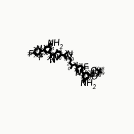 CC(CCn1cc(-c2ccc3c(-c4cc(N)cc(-c5ncc(F)cc5F)c4)cnn3c2)cn1)Cc1cnc(-c2cc(N)cc(B3OCC(C)(C)CO3)c2)c(F)c1